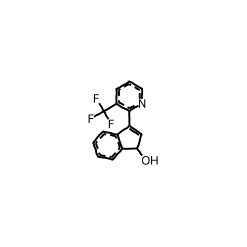 OC1C=C(c2ncccc2C(F)(F)F)c2ccccc21